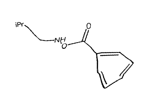 CC(C)CNOC(=O)c1ccccc1